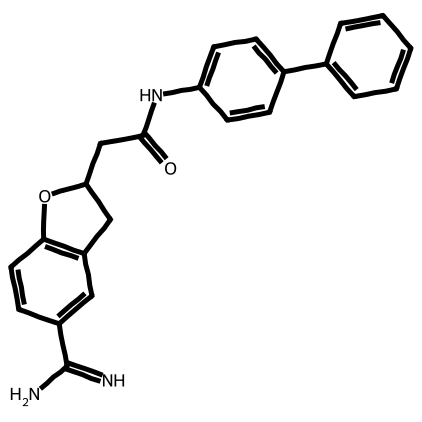 N=C(N)c1ccc2c(c1)CC(CC(=O)Nc1ccc(-c3ccccc3)cc1)O2